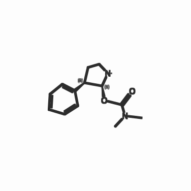 CN(C)C(=O)O[C@@H]1[N]CC[C@@H]1c1ccccc1